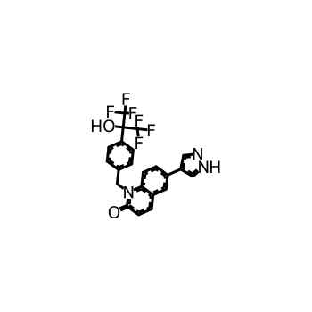 O=c1ccc2cc(-c3cn[nH]c3)ccc2n1Cc1ccc(C(O)(C(F)(F)F)C(F)(F)F)cc1